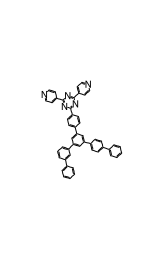 c1ccc(-c2ccc(-c3cc(-c4ccc(-c5nc(-c6ccncc6)nc(-c6ccncc6)n5)cc4)cc(-c4cccc(-c5ccccc5)c4)c3)cc2)cc1